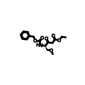 CCOC(=O)CC(=O)[C@H](COC)NC(=O)OCc1ccccc1